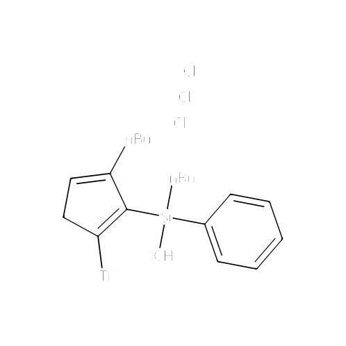 CCCCC1=CC[C]([Ti+3])=C1[Si](C)(CCCC)c1ccccc1.[Cl-].[Cl-].[Cl-]